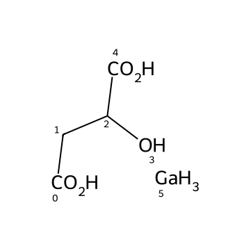 O=C(O)CC(O)C(=O)O.[GaH3]